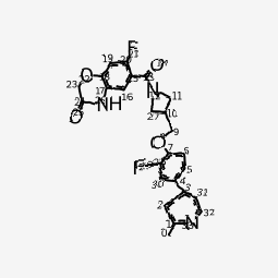 Cc1cc(-c2ccc(OCC3CN(C(=O)c4cc5c(cc4F)OCC(=O)N5)C3)c(F)c2)ccn1